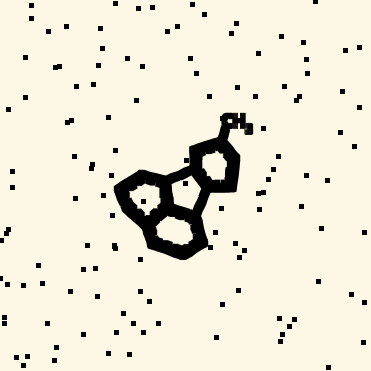 Cc1ccc2c(c1)-c1cccc3cccc-2c13